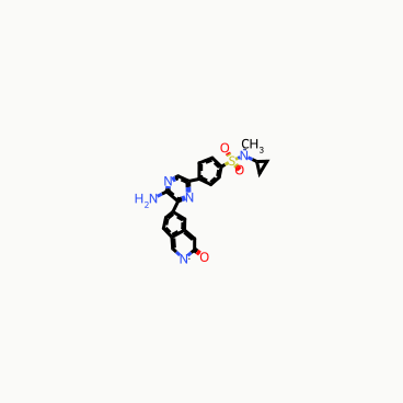 CN(C1CC1)S(=O)(=O)c1ccc(-c2cnc(N)c(-c3ccc4c(c3)=CC(=O)[N]C=4)n2)cc1